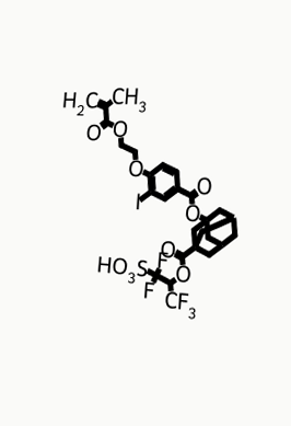 C=C(C)C(=O)OCCOc1ccc(C(=O)OC23CC4CC(C2)CC(C(=O)OC(C(F)(F)F)C(F)(F)S(=O)(=O)O)(C4)C3)cc1I